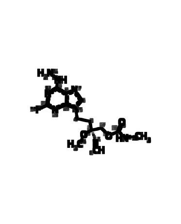 C#C[C@](CCn1cnc2c(NN)nc(F)nc21)(COC(=O)NC)OC